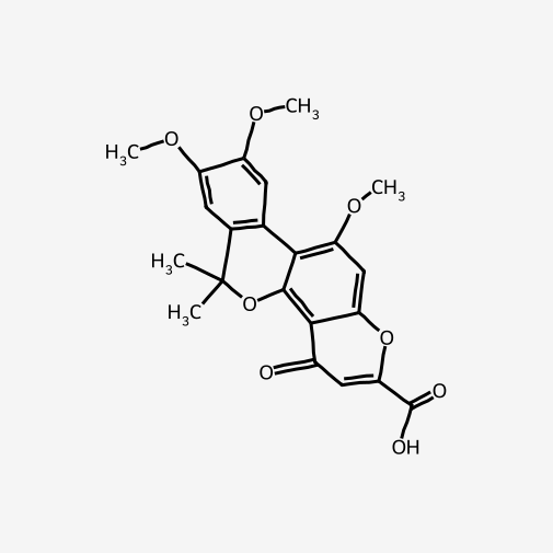 COc1cc2c(cc1OC)C(C)(C)Oc1c-2c(OC)cc2oc(C(=O)O)cc(=O)c12